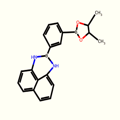 CC1OB(c2cccc(B3Nc4cccc5cccc(c45)N3)c2)OC1C